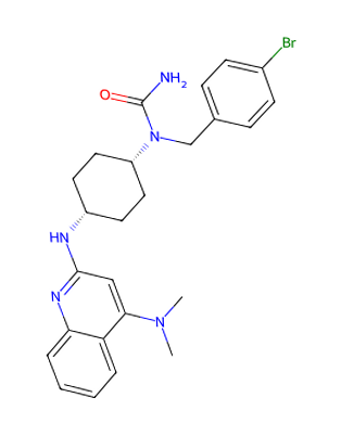 CN(C)c1cc(N[C@H]2CC[C@@H](N(Cc3ccc(Br)cc3)C(N)=O)CC2)nc2ccccc12